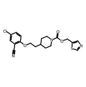 N#Cc1cc(Cl)ccc1OCCC1CCN(C(=O)OCc2cncs2)CC1